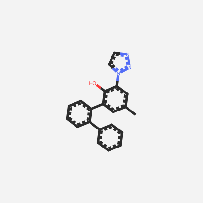 Cc1cc(-c2ccccc2-c2ccccc2)c(O)c(-n2ccnn2)c1